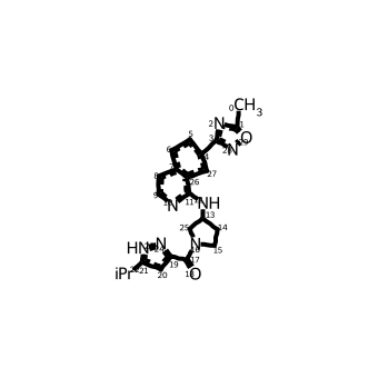 Cc1nc(-c2ccc3ccnc(NC4CCN(C(=O)c5cc(C(C)C)[nH]n5)C4)c3c2)no1